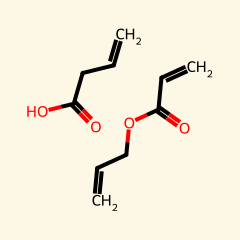 C=CCC(=O)O.C=CCOC(=O)C=C